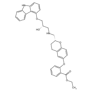 CCOC(=O)c1ccccc1Oc1ccc2c(c1)CC[C@H](CNC[C@H](O)COc1cccc3[nH]c4ccccc4c13)O2